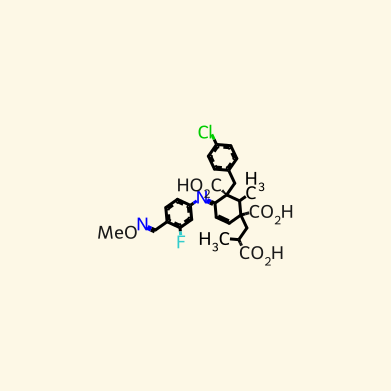 CON=Cc1ccc(N=C2C=CC(CC(C)C(=O)O)(C(=O)O)C(C)[C@]2(Cc2ccc(Cl)cc2)C(=O)O)cc1F